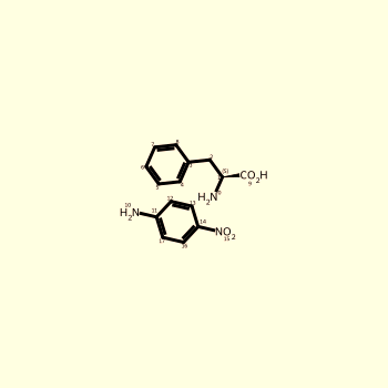 N[C@@H](Cc1ccccc1)C(=O)O.Nc1ccc([N+](=O)[O-])cc1